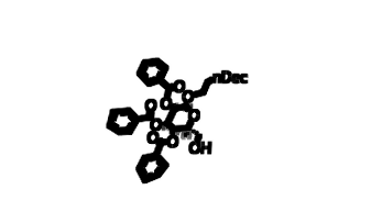 CCCCCCCCCCCCO[C@H]1O[C@H](CO)[C@@H](OC(=O)c2ccccc2)[C@H](OC(=O)c2ccccc2)[C@H]1OC(=O)c1ccccc1